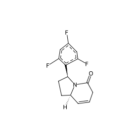 O=C1CC=C[C@H]2CC[C@@H](c3c(F)cc(F)cc3F)N12